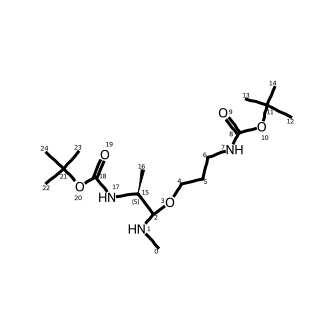 CNC(OCCCNC(=O)OC(C)(C)C)[C@H](C)NC(=O)OC(C)(C)C